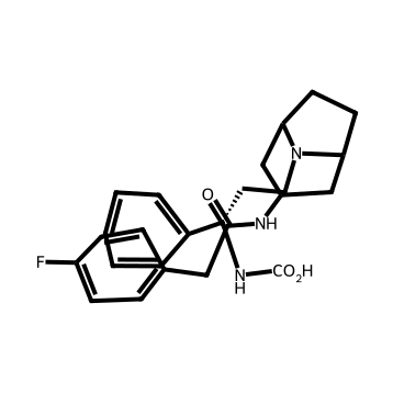 O=C(O)N[C@@H](CCN1C2CCC1CC(NC(=O)Cc1ccc(F)cc1)C2)c1ccccc1